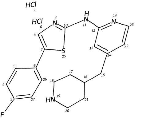 Cl.Cl.Fc1ccc(-c2cnc(Nc3cc(CC4CCNCC4)ccn3)s2)cc1